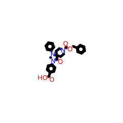 O=C(O)c1ccc(N2CN(c3ccccc3)C3(CCN(C(=O)OCc4ccccc4)CC3)C2=O)cc1